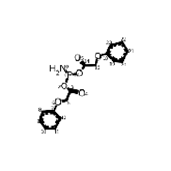 NP(OC(=O)COc1ccccc1)OC(=O)COc1ccccc1